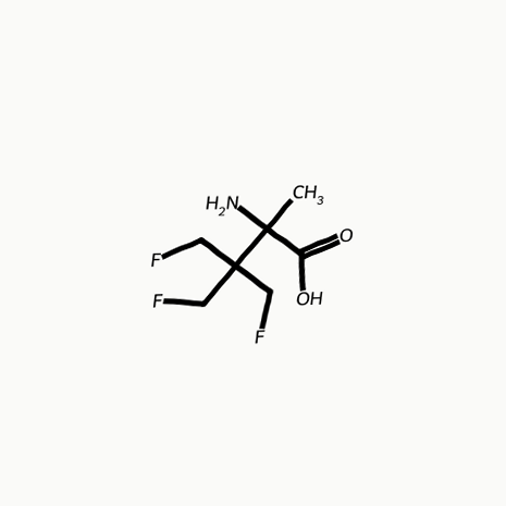 CC(N)(C(=O)O)C(CF)(CF)CF